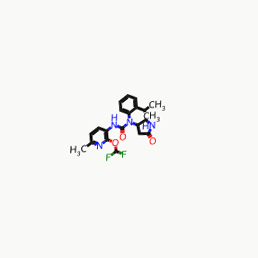 Cc1ccc(NC(=O)N(c2ccccc2C(C)C)C2CNC(=O)C2)c(OC(F)F)n1